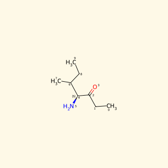 CCC(=O)[C@@H](N)C(C)CC